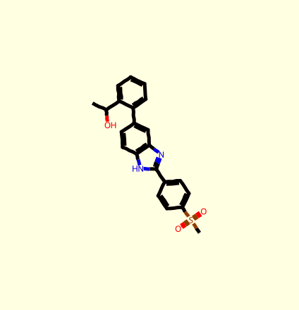 CC(O)c1ccccc1-c1ccc2[nH]c(-c3ccc(S(C)(=O)=O)cc3)nc2c1